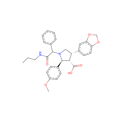 CCCNC(=O)C(c1ccccc1)N1C[C@H](c2ccc3c(c2)OCO3)[C@H](C(=O)O)[C@H]1c1ccc(OC)cc1